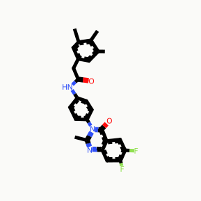 Cc1cc(CC(=O)Nc2ccc(-n3c(C)nc4cc(F)c(F)cc4c3=O)cc2)cc(C)c1C